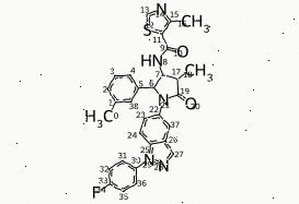 Cc1cccc(C2C(NC(=O)c3scnc3C)C(C)C(=O)N2c2ccc3c(cnn3-c3ccc(F)cc3)c2)c1